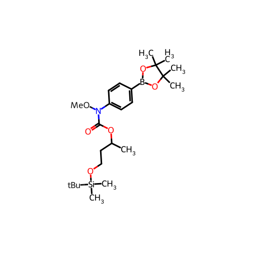 CON(C(=O)OC(C)CCO[Si](C)(C)C(C)(C)C)c1ccc(B2OC(C)(C)C(C)(C)O2)cc1